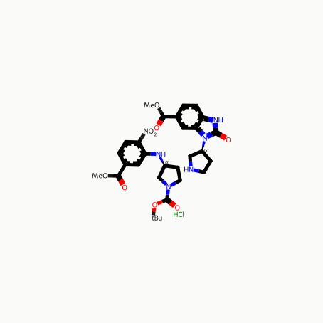 COC(=O)c1ccc([N+](=O)[O-])c(N[C@H]2CCN(C(=O)OC(C)(C)C)C2)c1.COC(=O)c1ccc2[nH]c(=O)n([C@H]3CCNC3)c2c1.Cl